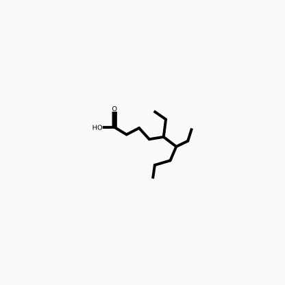 CCCC(CC)C(CC)CCCC(=O)O